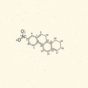 O=[N+]([O-])c1ccc2c(c1)=CCc1c3c(ccc1=2)=CCCC3